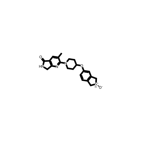 Cc1cc2c(nc1N1CCC(Oc3ccc4c(c3)C[S@+]([O-])C4)CC1)CNC2=O